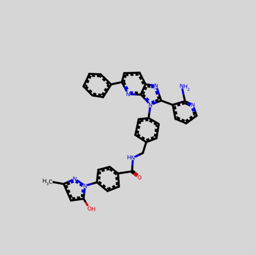 Cc1cc(O)n(-c2ccc(C(=O)NCc3ccc(-n4c(-c5cccnc5N)nc5ccc(-c6ccccc6)nc54)cc3)cc2)n1